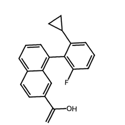 C=C(O)c1ccc2cccc(-c3c(F)cccc3C3CC3)c2c1